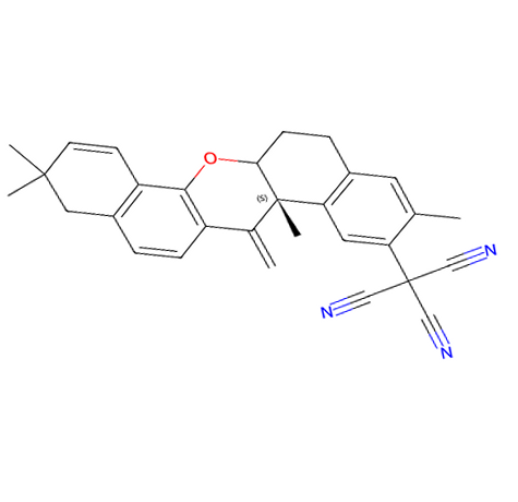 C=C1c2ccc3c(c2OC2CCc4cc(C)c(C(C#N)(C#N)C#N)cc4[C@]12C)C=CC(C)(C)C3